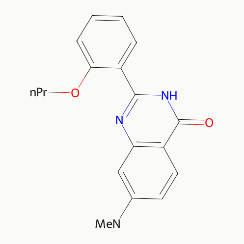 CCCOc1ccccc1-c1nc2cc(NC)ccc2c(=O)[nH]1